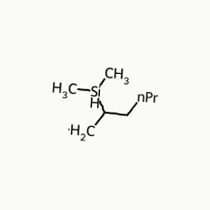 [CH2]C(CCCC)[SiH](C)C